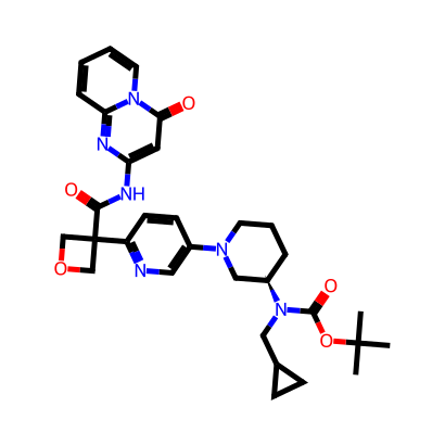 CC(C)(C)OC(=O)N(CC1CC1)[C@@H]1CCCN(c2ccc(C3(C(=O)Nc4cc(=O)n5ccccc5n4)COC3)nc2)C1